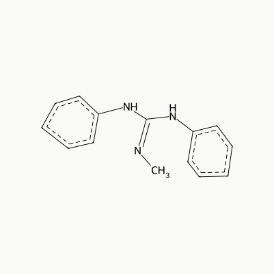 CN=C(Nc1ccccc1)Nc1ccccc1